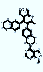 Cc1nc(C)c(-c2ccc3c(c2)CCN(c2ncnc4c2cnn4C)C3)c(-c2ccc3c(c2)CCCO3)c1CC(=O)O